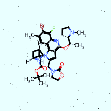 Cc1cc2c(nc(O[C@@H](C)[C@@H]3CCCN3C)c3cc(CN4CCOC4=O)n([C@H]4[C@@H]5C[C@H]4N(C(=O)OC(C)(C)C)C5)c32)c(F)c1Br